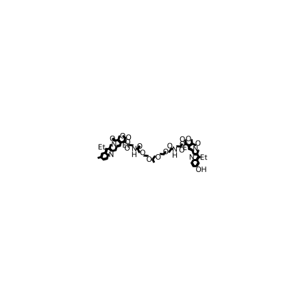 CCc1c2c(nc3ccc(C)cc13)Cc1cc3c(c(=O)n1C2)COC(=O)[C@@]3(CC)OC(=O)CNC(=O)COCCOC(C)COCCOCC(=O)NCC(=O)O[C@]1(CC)C(=O)OCc2c1cc1n(c2=O)Cc2c-1nc1ccc(O)cc1c2CC